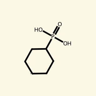 O=P(O)(O)C1CC[CH]CC1